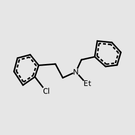 CCN(CCc1ccccc1Cl)Cc1ccccc1